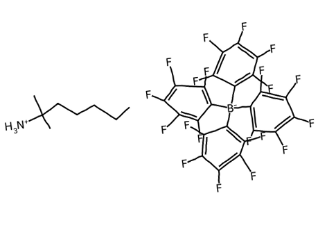 CCCCCC(C)(C)[NH3+].Fc1c(F)c(F)c([B-](c2c(F)c(F)c(F)c(F)c2F)(c2c(F)c(F)c(F)c(F)c2F)c2c(F)c(F)c(F)c(F)c2F)c(F)c1F